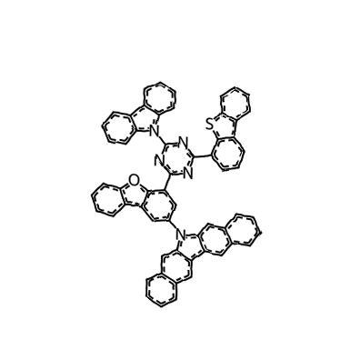 c1ccc2cc3c(cc2c1)c1cc2ccccc2cc1n3-c1cc(-c2nc(-c3cccc4c3sc3ccccc34)nc(-n3c4ccccc4c4ccccc43)n2)c2oc3ccccc3c2c1